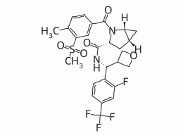 Cc1ccc(C(=O)N2[C@@H](C(=O)N[C@@H](c3ccc(C(F)(F)F)cc3F)C3COC3)C[C@H]3C[C@H]32)cc1S(C)(=O)=O